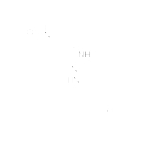 CCCc1cc(Nc2cc(-c3ccc(OCc4ccccc4)cc3)[nH]n2)ccc1NC=O